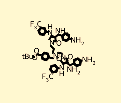 CC(C)(C)OC(=O)c1ccc(C[N+](C)(CCCN2CC(Nc3cccc(C(F)(F)F)c3)=C([C@H](N)c3ccc(N)cc3)C2=O)CCN2CC(Nc3cccc(C(F)(F)F)c3)=C([C@H](N)c3ccc(N)cc3)C2=O)cc1